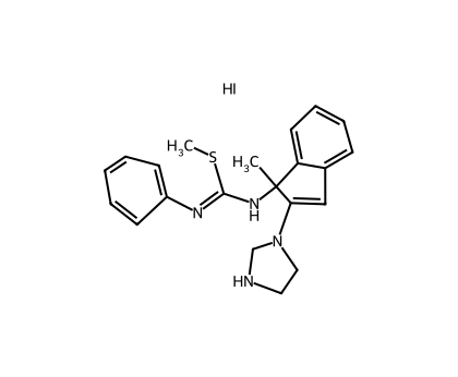 CSC(=Nc1ccccc1)NC1(C)C(N2CCNC2)=Cc2ccccc21.I